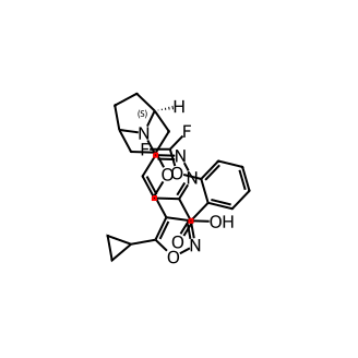 O=C(O)c1ccc(N2C3CC[C@H]2CC(OCc2c(-c4ccccc4OC(F)F)noc2C2CC2)C3)nn1